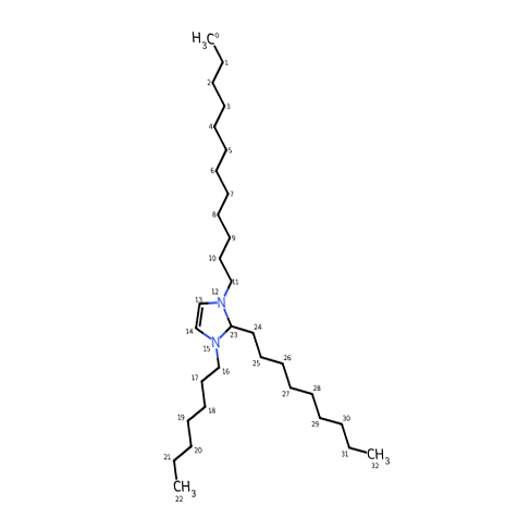 CCCCCCCCCCCCN1C=CN(CCCCCCC)C1CCCCCCCCC